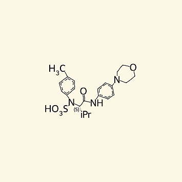 Cc1ccc(N([C@H](C(=O)Nc2ccc(N3CCOCC3)cc2)C(C)C)S(=O)(=O)O)cc1